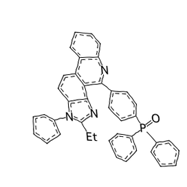 CCc1nc2c3c(-c4ccc(P(=O)(c5ccccc5)c5ccccc5)cc4)nc4ccccc4c3ccc2n1-c1ccccc1